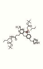 CCCCC(CC(=O)OC(C)(C)C)NC(=O)CCc1nc(N)nc(N[C@@H](CCCC)CC(=O)OC(C)(C)C)c1Cc1cc(Cc2nn[nH]n2)ccc1OC